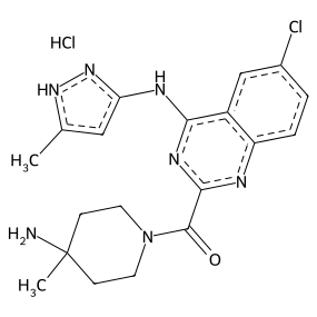 Cc1cc(Nc2nc(C(=O)N3CCC(C)(N)CC3)nc3ccc(Cl)cc23)n[nH]1.Cl